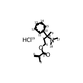 C=C(C)C(=O)OCCC(C)(c1ccccc1)N(C)C.Cl